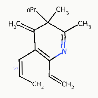 C=CC1=C(/C=C\C)C(=C)C(C)(CCC)C(C)=N1